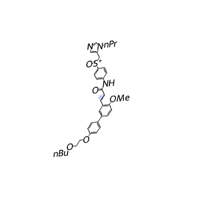 CCCCOCCOc1ccc(-c2ccc(OC)c(/C=C/C(=O)Nc3ccc([S+]([O-])Cc4cncn4CCC)cc3)c2)cc1